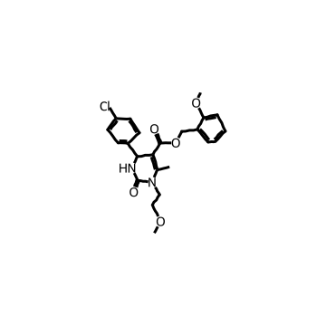 COCCN1C(=O)NC(c2ccc(Cl)cc2)C(C(=O)OCc2ccccc2OC)=C1C